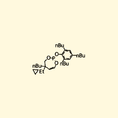 C1CC1.CCCCc1cc(CCCC)c(OP2OC=CC(CC)(CCCC)CO2)c(CCCC)c1